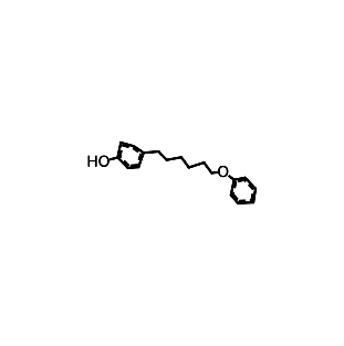 Oc1ccc(CCCCCCOc2ccccc2)cc1